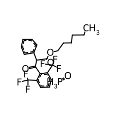 CCCCCCOC(=O)C(C(=O)c1c(C(F)(F)F)cccc1C(F)(F)F)c1ccccc1.O=[PH3]